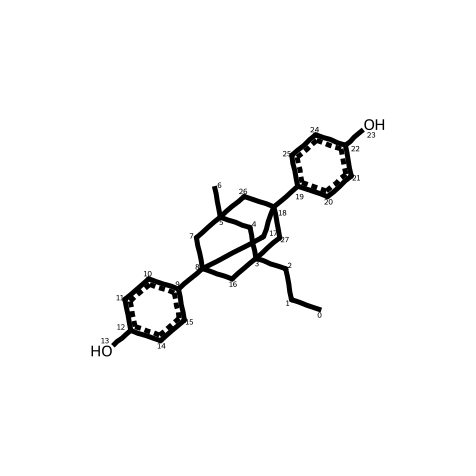 CCCC12CC3(C)CC(c4ccc(O)cc4)(C1)CC(c1ccc(O)cc1)(C3)C2